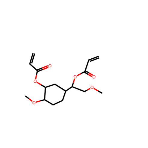 C=CC(=O)OC(COC)C1CCC(OC)C(OC(=O)C=C)C1